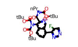 CCCN(C(=O)OC(C)(C)C)C(=O)c1c(N(C(=O)OC(C)(C)C)C(=O)OC(C)(C)C)c2cccc(-c3ncncc3F)c2c[n+]1[O-]